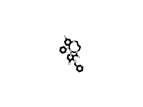 O=C1c2c(OCc3ccccc3)c(=O)ccn2N2CN1C/C=C/COc1cc(F)ccc1[C@H]2c1ccccc1